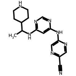 CC(Nc1cc(Nc2cnc(C#N)cn2)ncn1)C1CCNCC1